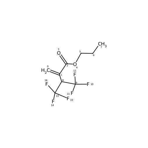 C=C(C(=O)OCCC)C(C(F)(F)F)C(F)(F)F